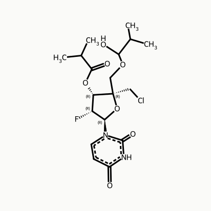 CC(C)C(=O)O[C@H]1[C@@H](F)[C@H](n2ccc(=O)[nH]c2=O)O[C@]1(CCl)COC(O)C(C)C